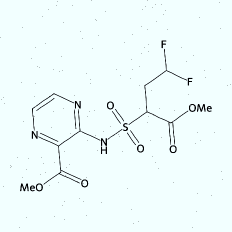 COC(=O)c1nccnc1NS(=O)(=O)C(CC(F)F)C(=O)OC